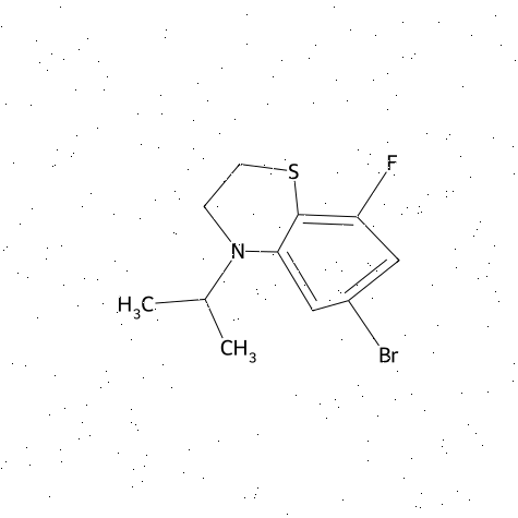 CC(C)N1CCSc2c(F)cc(Br)cc21